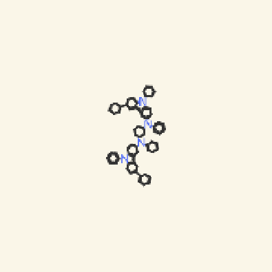 c1ccc(-c2ccc3c(c2)c2cc(N(c4ccccc4)c4cccc(N(c5ccccc5)c5ccc6c(c5)c5cc(-c7ccccc7)ccc5n6-c5ccccc5)c4)ccc2n3-c2ccccc2)cc1